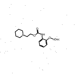 CCCCCCCCCCOc1ccccc1NC(=O)OCCN1CCCCC1